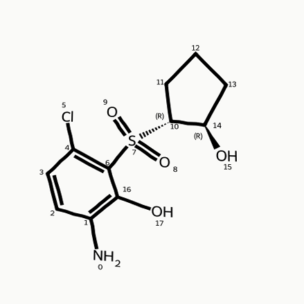 Nc1ccc(Cl)c(S(=O)(=O)[C@@H]2CCC[C@H]2O)c1O